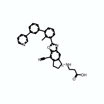 Cc1c(-c2cccc(-c3cccnc3)c2)cccc1-c1nc2cc3c(c(C#N)c2o1)CC[C@H]3NCCC(=O)O